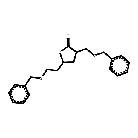 O=C1OC(CCSCc2ccccc2)CC1CSCc1ccccc1